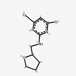 Clc1cc(Cl)nc(NCC2CCCO2)n1